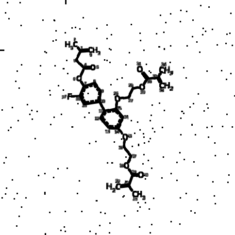 C=C(C)CC(=O)Oc1ccc(-c2ccc(OCCOC(=O)C(=C)C)cc2OCCOC(=O)C(=C)C)cc1F